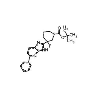 CC(C)(C)OC(=O)N1CCCC(F)(c2nc3ccc(-c4ccccc4)nc3[nH]2)C1